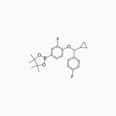 CC1(C)OB(c2ccc(OC(c3ccc(F)cc3)C3CC3)c(F)c2)OC1(C)C